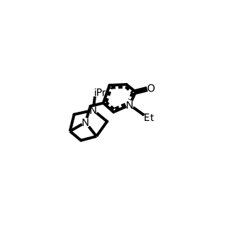 CCn1cc(CN2C3CC2CN(C(C)C)C3)ccc1=O